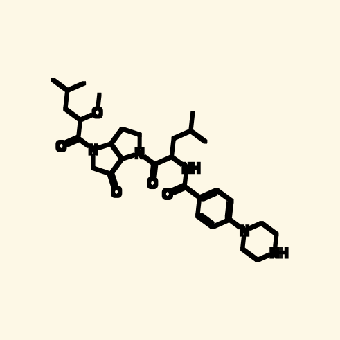 COC(CC(C)C)C(=O)N1CC(=O)C2C1CCN2C(=O)C(CC(C)C)NC(=O)c1ccc(N2CCNCC2)cc1